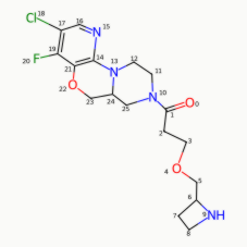 O=C(CCOCC1CCN1)N1CCN2c3ncc(Cl)c(F)c3OCC2C1